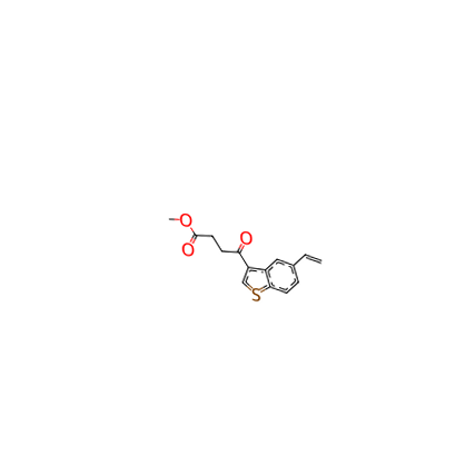 C=Cc1ccc2scc(C(=O)CCC(=O)OC)c2c1